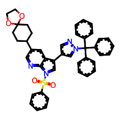 O=S(=O)(c1ccccc1)n1cc(-c2cnn(C(c3ccccc3)(c3ccccc3)c3ccccc3)c2)c2cc(C3CCC4(CC3)OCCO4)cnc21